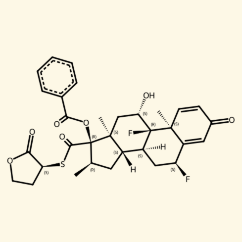 C[C@@H]1C[C@H]2[C@@H]3C[C@H](F)C4=CC(=O)C=C[C@]4(C)[C@@]3(F)[C@@H](O)C[C@]2(C)[C@@]1(OC(=O)c1ccccc1)C(=O)S[C@H]1CCOC1=O